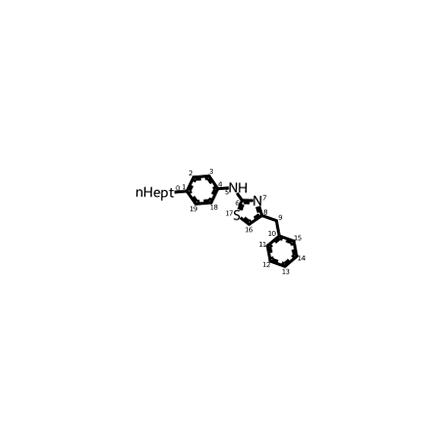 CCCCCCCc1ccc(Nc2nc(Cc3ccccc3)cs2)cc1